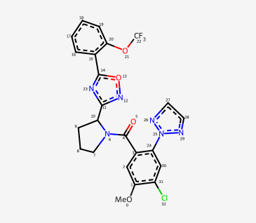 COc1cc(C(=O)N2CCCC2c2noc(-c3ccccc3OC(F)(F)F)n2)c(-n2nccn2)cc1Cl